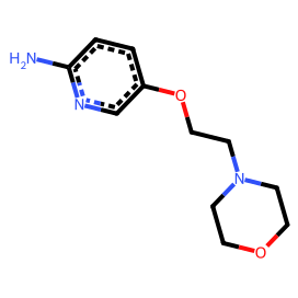 Nc1ccc(OCCN2CCOCC2)cn1